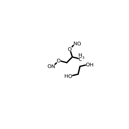 CC(CON=O)ON=O.OCCO